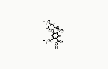 COc1cc(N2CCN(C)CC2)c([N+](=O)[O-])cc1C(=O)O